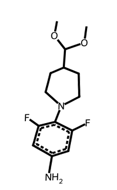 COC(OC)C1CCN(c2c(F)cc(N)cc2F)CC1